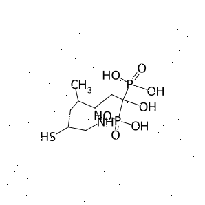 CC1CC(S)CNC1CC(O)(P(=O)(O)O)P(=O)(O)O